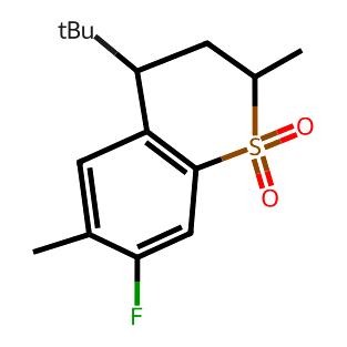 Cc1cc2c(cc1F)S(=O)(=O)C(C)CC2C(C)(C)C